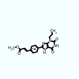 CCCn1c(=O)[nH]c(=O)c2[nH]c(C34CCC(C=CC(=O)OC)(CC3)CC4)nc21